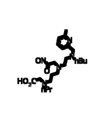 CCCCN(CCN(CCCN(CCC)CC(=O)O)CC(=O)N=O)Cc1cccc(C)n1